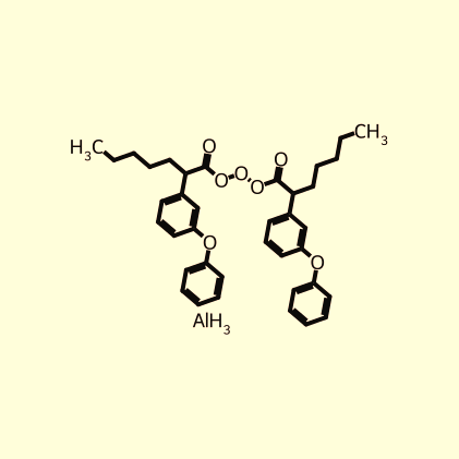 CCCCCC(C(=O)OOOC(=O)C(CCCCC)c1cccc(Oc2ccccc2)c1)c1cccc(Oc2ccccc2)c1.[AlH3]